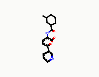 CC1CCCC(C(=O)Nc2ccc(-c3cccnc3)oc2=O)C1